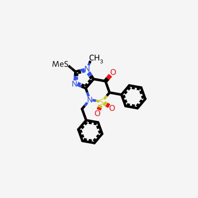 CSc1nc2c(n1C)C(=O)C(c1ccccc1)S(=O)(=O)N2Cc1ccccc1